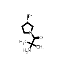 CC(C)[C@H]1CCN(C(=O)C(C)(C)N)C1